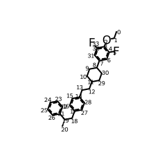 CCOc1c(F)cc(C2CCC(CCc3ccc(C[C@@H](C)c4ccccc4)cc3)CC2)cc1F